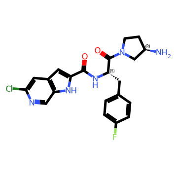 N[C@@H]1CCN(C(=O)[C@H](Cc2ccc(F)cc2)NC(=O)c2cc3cc(Cl)ncc3[nH]2)C1